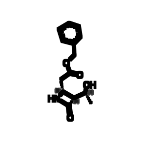 C[C@@H](O)[C@@H]1C(=O)N[C@@H]1CC(=O)OCc1ccccc1